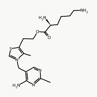 Cc1ncc(C[n+]2csc(CCOC(=O)[C@@H](N)CCCCN)c2C)c(N)n1